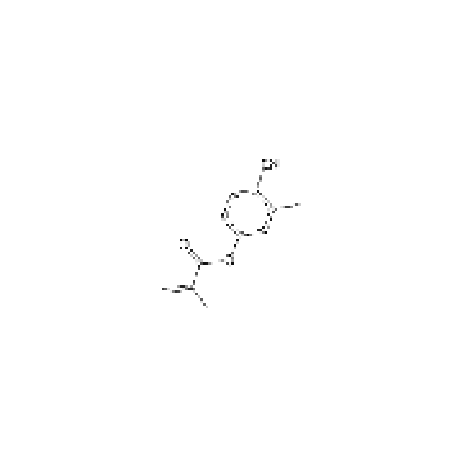 C=C(C)C(=O)Oc1ccc(C#N)c(C)c1